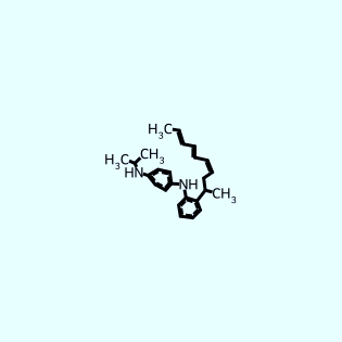 C/C=C/C=C/C=C\CC(C)c1ccccc1Nc1ccc(NC(C)C)cc1